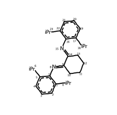 CC(C)c1cccc(C(C)C)c1N=C1CCCCC1=Nc1c(C(C)C)cccc1C(C)C